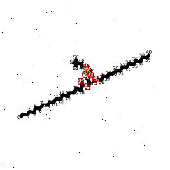 CCCCCCCCCCCCCCCCCCCC(=O)O[C@H](COCCCCCCCCCCCCCCCC)COP(C)(=O)OCCC(C)(C)C